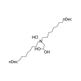 CCCCCCCCCCCCCCCCCCN(CCCCCCCCCCCCCCCCCC)CC(O)O.Cl